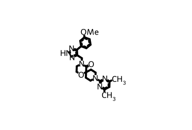 COc1cccc(-c2n[nH]nc2CN2CCOC3(CCN(c4nc(C)cc(C)n4)CC3)C2=O)c1